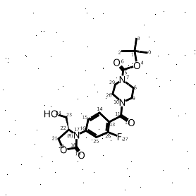 CC(C)(C)OC(=O)N1CCN(C(=O)c2ccc(N3C(=O)OC[C@H]3CO)cc2F)CC1